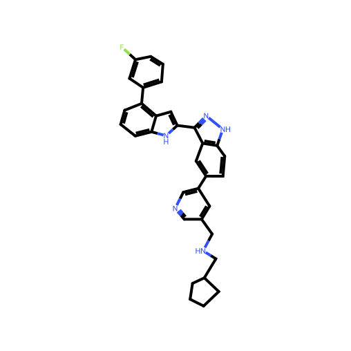 Fc1cccc(-c2cccc3[nH]c(-c4n[nH]c5ccc(-c6cncc(CNCC7CCCC7)c6)cc45)cc23)c1